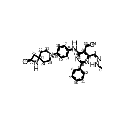 CN/N=C\c1nc(-c2ccccc2)nc(Nc2ccc(N3CCC4(CC3)CC(=O)N4)cc2)c1C=O